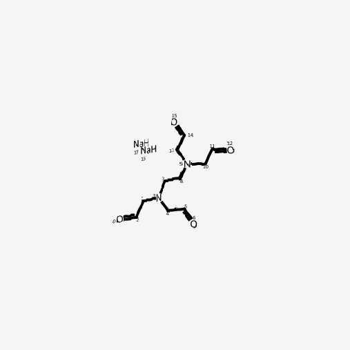 O=CCN(CC=O)CCN(CC=O)CC=O.[NaH].[NaH]